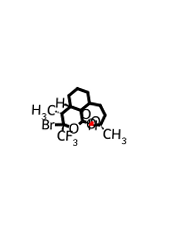 C[C@@H]1[C@@H]2CCCC3CC[C@]4(C)OO[C@]32[C@@H](O4)O[C@@]1(Br)C(F)(F)F